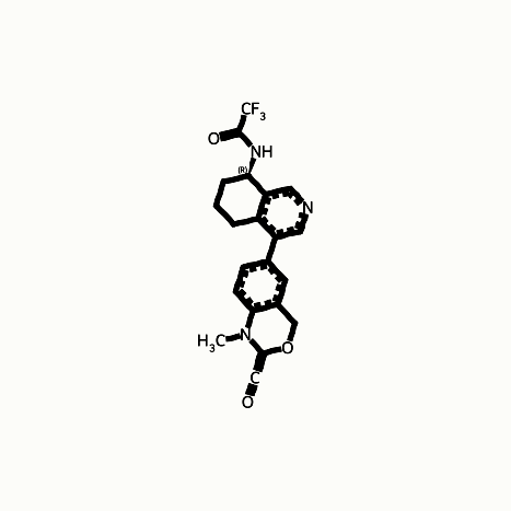 CN1C(=C=O)OCc2cc(-c3cncc4c3CCC[C@H]4NC(=O)C(F)(F)F)ccc21